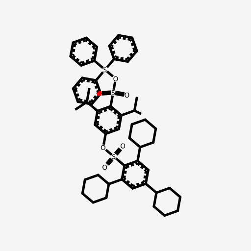 CC(C)c1cc(OS(=O)(=O)c2c(C3CCCCC3)cc(C3CCCCC3)cc2C2CCCCC2)cc(C(C)C)c1S(=O)(=O)OS(c1ccccc1)(c1ccccc1)c1ccccc1